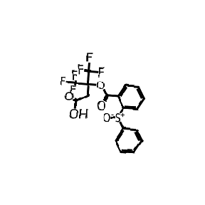 O=C(O)CC(OC(=O)c1ccccc1[S+]([O-])c1ccccc1)(C(F)(F)F)C(F)(F)F